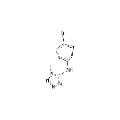 Cn1nnnc1Nc1ccc(Br)cn1